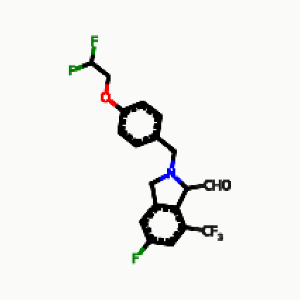 O=CC1c2c(cc(F)cc2C(F)(F)F)CN1Cc1ccc(OCC(F)F)cc1